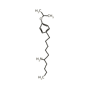 [CH2]CCCC(N)CCCCCc1ccc(OC(C)C)cc1